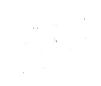 CCC1(C)CCCCN1C1C#CCC1